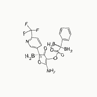 BC(B)(c1ccccc1)S(=O)(=O)OC1=C(N)O[C@@](B)(c2ccc(C(F)(F)F)nc2)C1=O